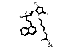 COC(=O)CSCCCS[C@H]1C(=O)C[C@@H](O)[C@@H]1C=C[C@@](C)(O)CCc1cccc2ccccc12